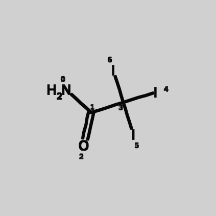 NC(=O)C(I)(I)I